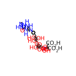 C=Nc1nc2c(c(=O)[nH]1)NC([C@@H](C)Nc1ccc(C[C@H](O)[C@H](O)[C@H](O)CO[C@H]3O[C@H](COP(=O)(O)O[C@@H](CCC(=O)O)C(=O)O)[C@@H](O)[C@H]3O)cc1)[C@H](C)N2